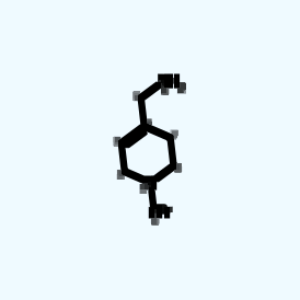 CCCN1CC=C(CN)CC1